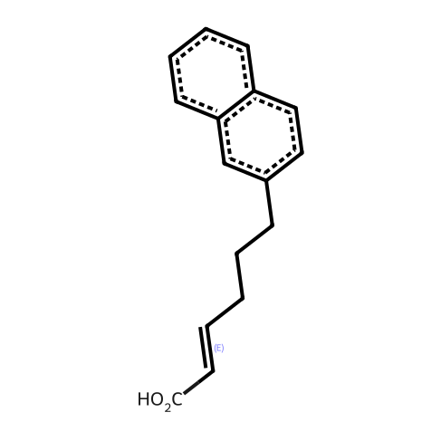 O=C(O)/C=C/CCCc1ccc2ccccc2c1